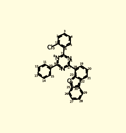 Clc1ccccc1-c1nc(-c2ccccc2)nc(-c2cccc3c2oc2ccccc23)n1